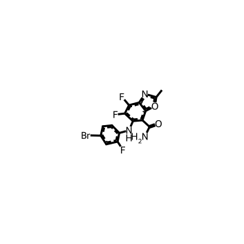 Cc1nc2c(F)c(F)c(Nc3ccc(Br)cc3F)c(C(N)=O)c2o1